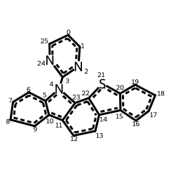 c1cnc(-n2c3ccccc3c3ccc4c5ccccc5sc4c32)nc1